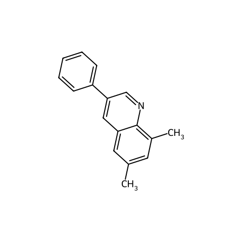 Cc1cc(C)c2ncc(-c3ccccc3)cc2c1